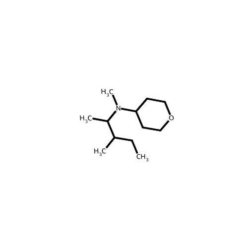 CCC(C)C(C)N(C)C1CCOCC1